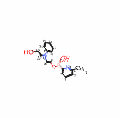 Cc1cccc(B(O)OCCN(CCO)c2ccccc2)n1